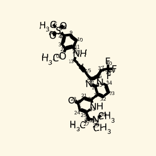 COc1cc(S(C)(=O)=O)ccc1NCC#Cc1nc2c(-c3cc(=O)cc([C@@H](C)N(C)C)[nH]3)cccn2c1CC(F)(F)F